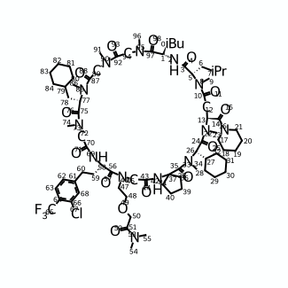 CC[C@H](C)[C@@H]1NC(=O)[C@H](CC(C)C)N(C)C(=O)C[C@@H](C(=O)N2CCCCC2)N(C)C(=O)[C@H](C2CCCCC2)N(C)C(=O)C2(CCCC2)NC(=O)CN(CCOCC(=O)N(C)C)C(=O)[C@H](CCc2ccc(C(F)(F)F)c(Cl)c2)NC(=O)CN(C)C(=O)[C@H](CC2CCCCC2)N(C)C(=O)CN(C)C(=O)CN(C)C1=O